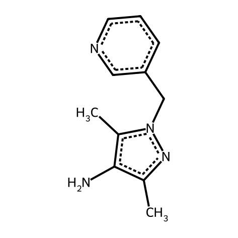 Cc1nn(Cc2cccnc2)c(C)c1N